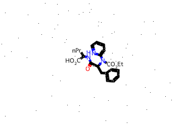 CCCC(NC(=O)C(Cc1ccccc1)N(C(=O)OCC)c1ccccn1)C(=O)O